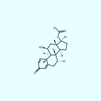 CCC(=O)O[C@@]1(C(C)=O)CC[C@H]2[C@H]3[C@H]([C@@H](O)C[C@@]21C)[C@@]1(C)C=CC(=O)C=C1C[C@H]3Cl